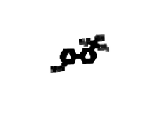 CNc1cccc(-c2cccc(C(C)(C)O)c2)c1